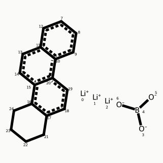 [Li+].[Li+].[Li+].[O-]B([O-])[O-].c1ccc2c(c1)ccc1c3c(ccc12)CCCC3